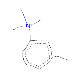 Cc1cccc([N+](C)(C)C)c1